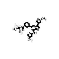 Cc1cc(Nc2nc(C3CCCN(C(=O)OC(C)(C)C)C3)cn3c(-c4cnn(C)c4)cnc23)sn1